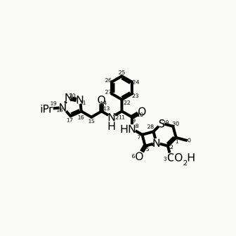 CC1=C(C(=O)O)N2C(=O)C(NC(=O)C(NC(=O)Cc3cn(C(C)C)nn3)c3ccccc3)C2SC1